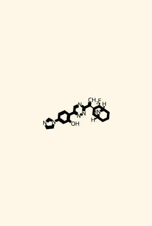 C=C(c1ncc(-c2ccc(-n3ccnc3)cc2O)nn1)[C@@H]1C[C@H]2CCC[C@H](N2)[C@@H]1F